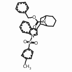 Cc1ccc(S(=O)(=O)n2cc(C3CC4CCCC3N4C(=O)OCc3ccccc3)c3ccccc32)cc1